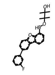 CC(C)(O)C(C)(C)OBc1cccc2c1oc1ccc(-c3cccc(F)c3)cc12